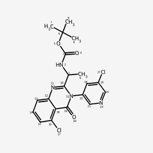 CC(NC(=O)OC(C)(C)C)c1nc2cccc(Cl)c2c(=O)n1-c1cncc(Cl)c1